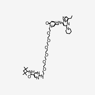 CCc1cnn2c(NCc3ccc(=O)n(CCOCCOCCOCCOCCOCCOCCN(C)c4ncc(C(=O)NC5C(C)(C)CC5(C)C)cn4)c3)cc(N3CCCCC3)nc12